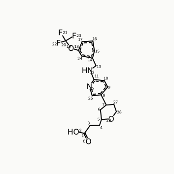 O=C(O)CCC1CC(c2ccc(NCc3cccc(OC(F)(F)F)c3)nc2)CCO1